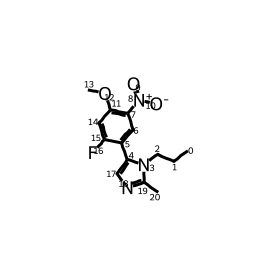 CCCn1c(-c2cc([N+](=O)[O-])c(OC)cc2F)cnc1C